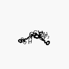 Cc1c(OCCCc2ccccc2)ccc(C(=O)NCCCC(=O)Oc2ccccc2)c1C